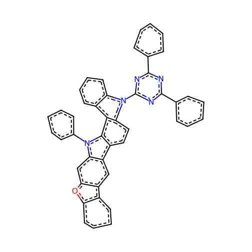 c1ccc(-c2nc(-c3ccccc3)nc(-n3c4ccccc4c4c3ccc3c5cc6c(cc5n(-c5ccccc5)c34)oc3ccccc36)n2)cc1